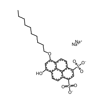 CCCCCCCCCCOc1cc(O)c2ccc3c(S(=O)(=O)[O-])cc(S(=O)(=O)[O-])c4ccc1c2c34.[Na+].[Na+]